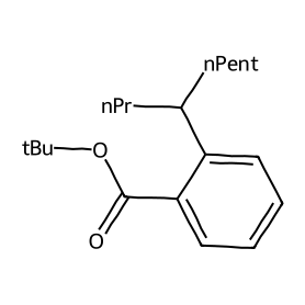 CCCCCC(CCC)c1ccccc1C(=O)OC(C)(C)C